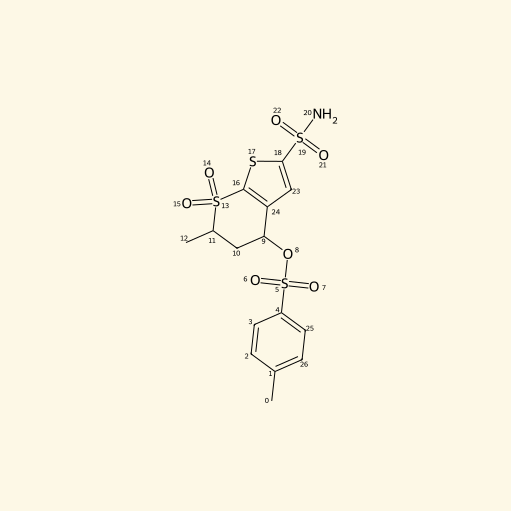 Cc1ccc(S(=O)(=O)OC2CC(C)S(=O)(=O)c3sc(S(N)(=O)=O)cc32)cc1